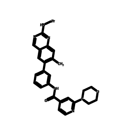 Cc1cc2nc(NC(C)C)ncc2cc1-c1cccc(NC(=O)c2ccnc(N3CCOCC3)c2)c1